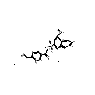 COc1cc(S(=O)(=O)NC(=O)c2ccc(CO)nc2)cc2ccccc12